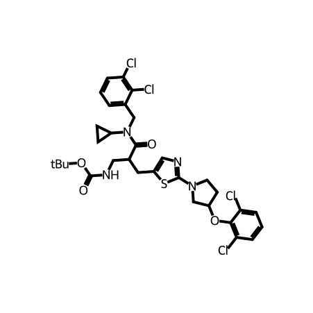 CC(C)(C)OC(=O)NCC(Cc1cnc(N2CCC(Oc3c(Cl)cccc3Cl)C2)s1)C(=O)N(Cc1cccc(Cl)c1Cl)C1CC1